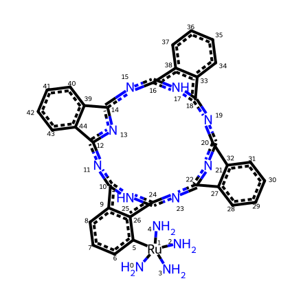 [NH2][Ru]([NH2])([NH2])([NH2])[c]1cccc2c3nc4nc(nc5[nH]c(nc6nc(nc([nH]3)c12)-c1ccccc1-6)c1ccccc51)-c1ccccc1-4